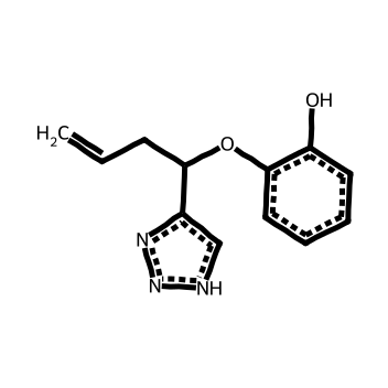 C=CCC(Oc1ccccc1O)c1c[nH]nn1